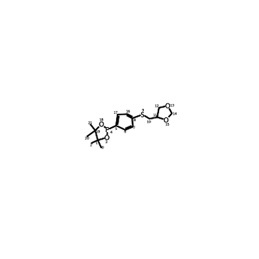 CC1(C)OP(c2ccc(SCC3COCO3)cc2)OC1(C)C